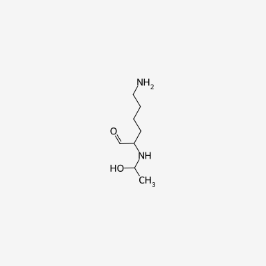 CC(O)NC(C=O)CCCCN